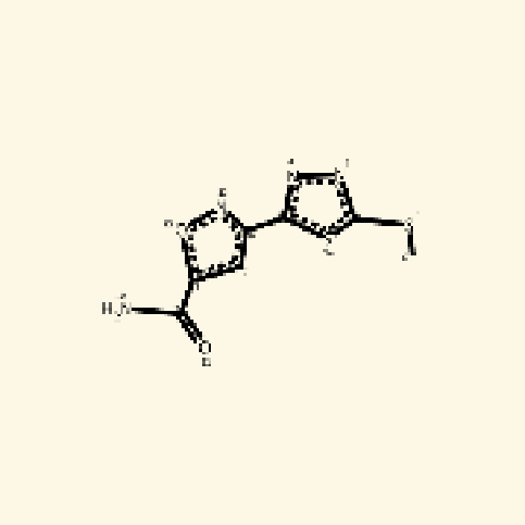 CSc1nnc(-c2cc(C(N)=O)on2)s1